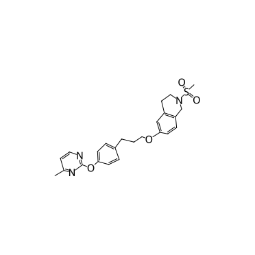 Cc1ccnc(Oc2ccc(CCCOc3ccc4c(c3)CCN(S(C)(=O)=O)C4)cc2)n1